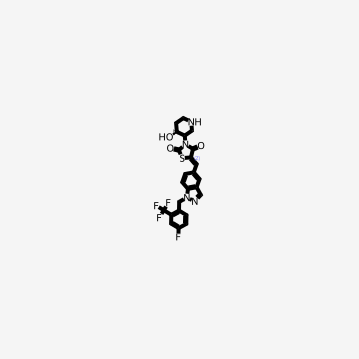 O=C1S/C(=C\c2ccc3c(cnn3Cc3ccc(F)cc3C(F)(F)F)c2)C(=O)N1C1CNCC[C@@H]1O